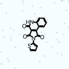 O=C1c2c(c3ccccc3[nH]c2=O)C(=O)N1c1cccs1